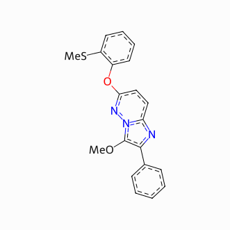 COc1c(-c2ccccc2)nc2ccc(Oc3ccccc3SC)nn12